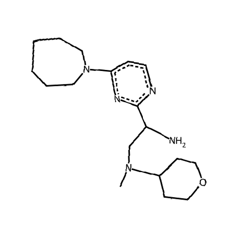 CN(CC(N)c1nccc(N2CCCCCC2)n1)C1CCOCC1